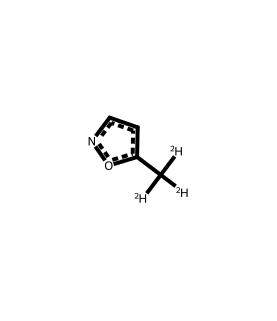 [2H]C([2H])([2H])c1ccno1